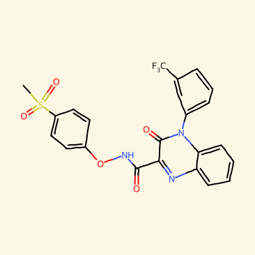 CS(=O)(=O)c1ccc(ONC(=O)c2nc3ccccc3n(-c3cccc(C(F)(F)F)c3)c2=O)cc1